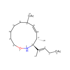 CC(=O)OCC=C(C)[C@H]1NOCCCCCC(OC(C)=O)C=C[C@@H]1C